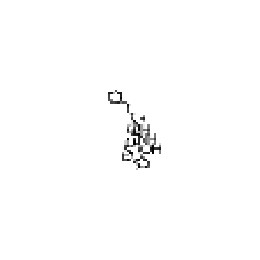 O=C(N[C@H]1C[N+]2(CC=Cc3ccccc3)CCC1CC2)C(O)(c1cccs1)c1cccs1